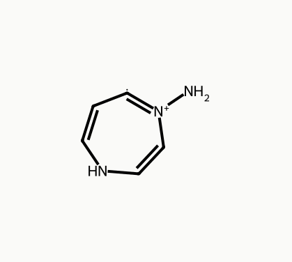 N[N+]1=[C]C=CNC=C1